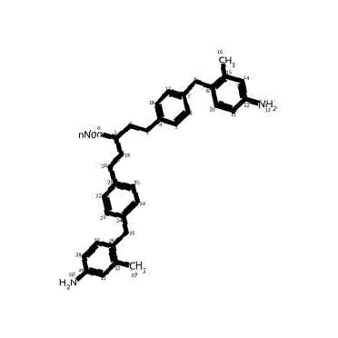 CCCCCCCCCC(CCc1ccc(Cc2ccc(N)cc2C)cc1)CCc1ccc(Cc2ccc(N)cc2C)cc1